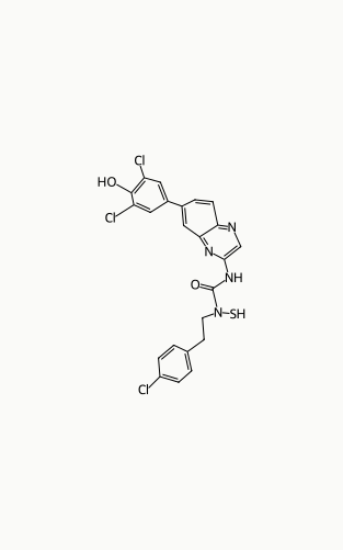 O=C(Nc1cnc2ccc(-c3cc(Cl)c(O)c(Cl)c3)cc2n1)N(S)CCc1ccc(Cl)cc1